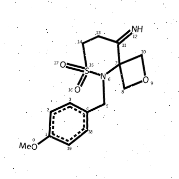 COc1ccc(CN2C3(COC3)C(=N)CCS2(=O)=O)cc1